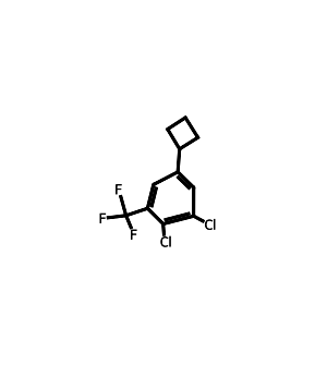 FC(F)(F)c1cc(C2CCC2)cc(Cl)c1Cl